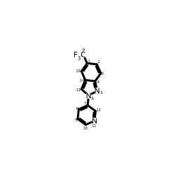 FC(F)(F)c1ccc2nn(-c3cccnc3)cc2c1